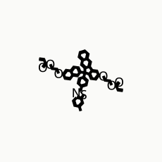 C=CC(=O)OCCOc1ccc2c(c1)-c1cc3ccccc3cc1C2(c1ccc(-c2nc3ccc(C)cc3s2)cc1)c1ccc2cc(OCCOC(=O)C=C)ccc2c1